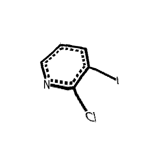 Clc1nc[c]cc1I